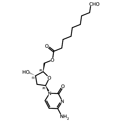 Nc1ccn([C@H]2C[C@H](O)[C@@H](COC(=O)CCCCCCCC=O)O2)c(=O)n1